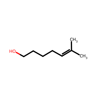 CC(C)=CCCCCO